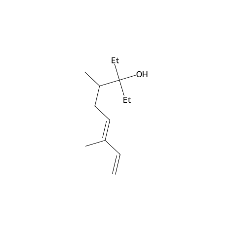 C=C/C(C)=C/CC(C)C(O)(CC)CC